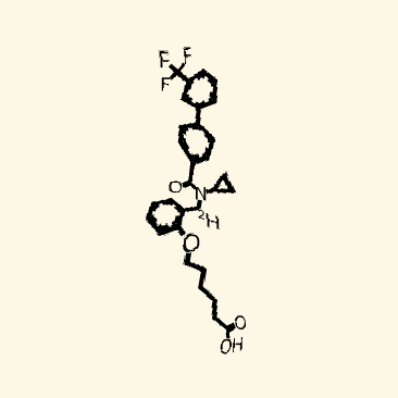 [2H]C(c1ccccc1OCCCCCC(=O)O)N(C(=O)c1ccc(-c2cccc(C(F)(F)F)c2)cc1)C1CC1